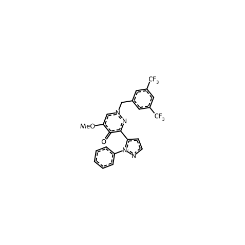 COc1cn(Cc2cc(C(F)(F)F)cc(C(F)(F)F)c2)nc(-c2ccnn2-c2ccccc2)c1=O